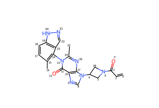 C=CC(=O)N1CC(n2cnc3c(=O)n(-c4c(C)ccc5[nH]ncc45)c(C)nc32)C1